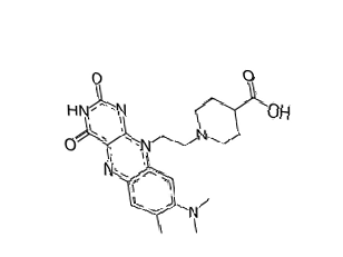 Cc1cc2nc3c(=O)[nH]c(=O)nc-3n(CCN3CCC(C(=O)O)CC3)c2cc1N(C)C